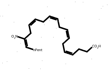 CCCCC/C=C(\C/C=C\C/C=C\C/C=C\C/C=C\CCC(=O)O)[N+](=O)[O-]